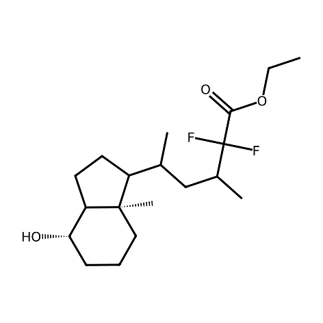 CCOC(=O)C(F)(F)C(C)CC(C)C1CCC2[C@@H](O)CCC[C@]12C